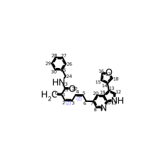 C=C(/C=C\C=C/Cc1cnc2[nH]cc(-c3ccoc3)c2c1)C(=O)NCc1ccccc1